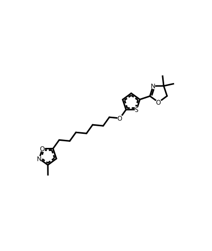 Cc1cc(CCCCCCCOc2ccc(C3=NC(C)(C)CO3)s2)on1